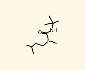 CC(C)CCN(C)C(=O)NC(C)(C)C